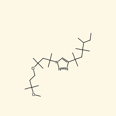 CCC(C)C(C)(C)CC(C)(C)c1cn(C(C)(C)CC(C)(C)OCCC(C)(C)OC)nn1